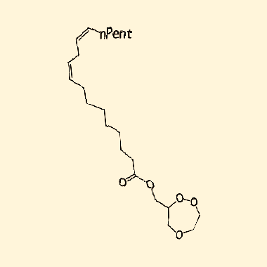 CCCCC/C=C\C/C=C\CCCCCCCC(=O)OCC1COCCOO1